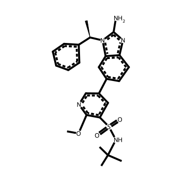 COc1ncc(-c2ccc3nc(N)n([C@H](C)c4ccccc4)c3c2)cc1S(=O)(=O)NC(C)(C)C